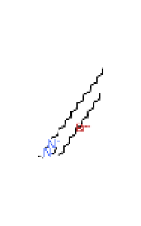 CCCCCCCCCCCCCCC.CCCCCCCCCCCCCCCCC[N+]1=CN(CC)CC1.[Br-]